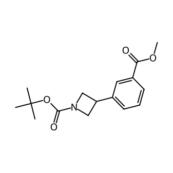 COC(=O)c1cccc(C2CN(C(=O)OC(C)(C)C)C2)c1